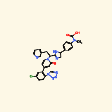 CN(C(=O)O)c1ccc(-c2cnc(C(Cc3cccnc3)n3ccc(-c4cc(Cl)ccc4-n4cnnn4)cc3=O)[nH]2)cc1